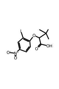 CC(C)(C)C(Oc1ccc([N+](=O)[O-])cc1I)C(=O)O